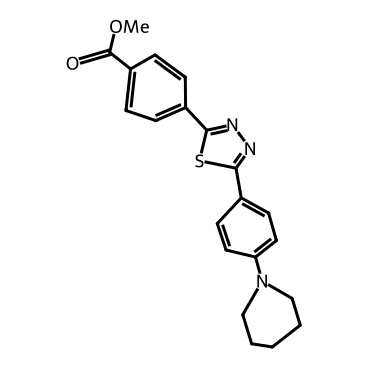 COC(=O)c1ccc(-c2nnc(-c3ccc(N4CCCCC4)cc3)s2)cc1